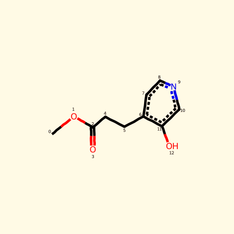 COC(=O)CCc1ccncc1O